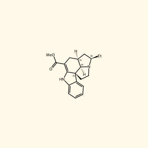 CC[C@@H]1C[C@@H]2CC(C(=O)OC)=C3Nc4ccccc4[C@]34CCN1[C@H]24